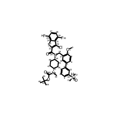 COc1ccc(-c2cccc([SH](C)(C)=O)c2)cc1CN(C(=O)c1sc2c(F)ccc(F)c2c1Cl)[C@H]1CC[C@H](N(C)C(=O)OC(C)(C)C)CC1